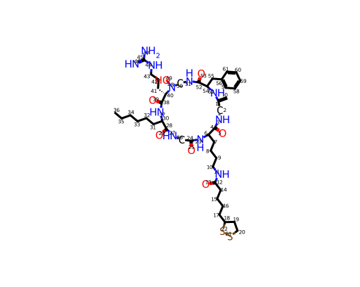 C=C1CNC(=O)C(CCCCNC(=O)CCCCC2CCSS2)NC(=O)CNC(=O)C(CCCCCC)NC(=O)[C@H](CCCNC(=N)N)N(O)CNC(=O)C(Cc2ccccc2)N1